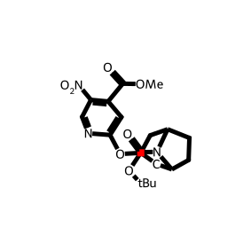 COC(=O)c1cc(OC2CC3CCC(C2)N3C(=O)OC(C)(C)C)ncc1[N+](=O)[O-]